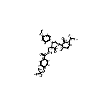 COc1ccc([C@@H]2CN(c3c(C)ccn(C(F)F)c3=O)C(=O)C2CNC(=O)c2ccc(OC(F)(F)F)cc2)cc1